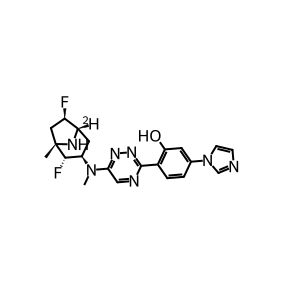 [2H][C@]12C[C@@H](N(C)c3cnc(-c4ccc(-n5ccnc5)cc4O)nn3)[C@H](F)[C@](C)(C[C@H]1F)N2